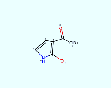 CC(C)COC(=O)c1cc[nH]c1[O]